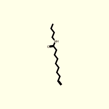 C=CCCCCCCCC(=O)NCCCC